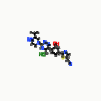 CC(C)[C@H]1CN(c2ncc(-c3ccc(-c4ncc(C#N)s4)cc3O)nn2)CCN1.Cl